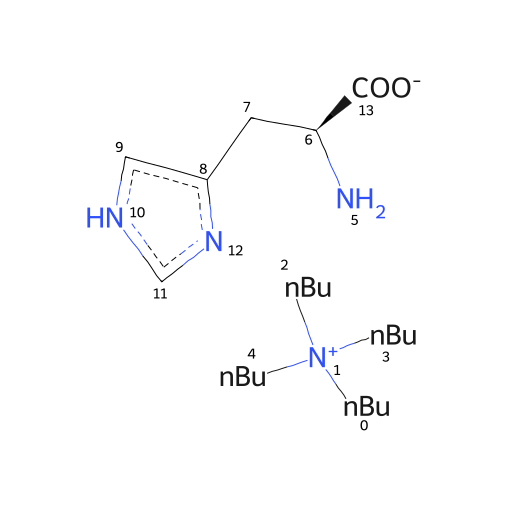 CCCC[N+](CCCC)(CCCC)CCCC.N[C@@H](Cc1c[nH]cn1)C(=O)[O-]